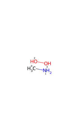 CN.OO